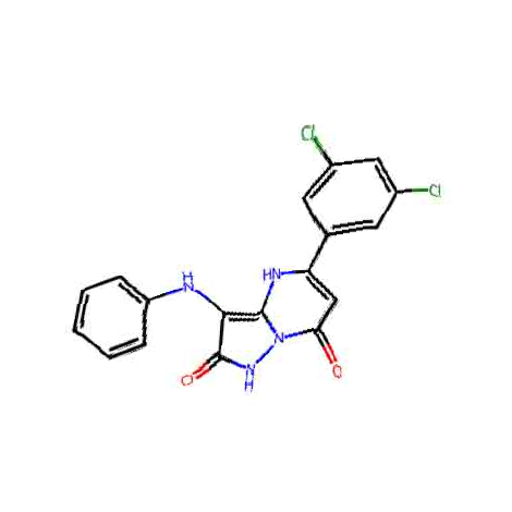 O=c1[nH]n2c(=O)cc(-c3cc(Cl)cc(Cl)c3)[nH]c2c1Nc1ccccc1